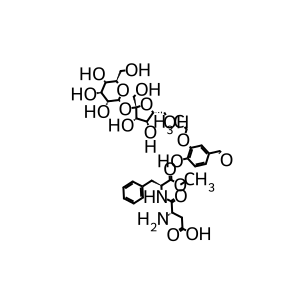 CCOc1cc(C=O)ccc1O.COC(=O)[C@H](Cc1ccccc1)NC(=O)[C@@H](N)CC(=O)O.OC[C@H]1O[C@@](CO)(O[C@H]2O[C@H](CO)[C@@H](O)[C@H](O)[C@H]2O)[C@@H](O)[C@@H]1O